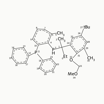 CCC(C)(Pc1c(C)cccc1P(c1ccccc1)c1ccccc1)c1cc(C(C)(C)C)cc(C)c1OCOC